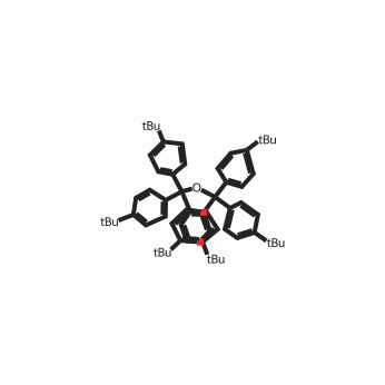 CC(C)(C)c1ccc(C(OC(c2ccc(C(C)(C)C)cc2)(c2ccc(C(C)(C)C)cc2)c2ccc(C(C)(C)C)cc2)(c2ccc(C(C)(C)C)cc2)c2ccc(C(C)(C)C)cc2)cc1